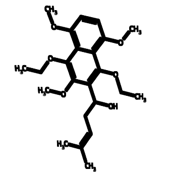 CCOc1c(OC)c(C(O)CC=C(C)C)c(OCC)c2c(OC)ccc(OC)c12